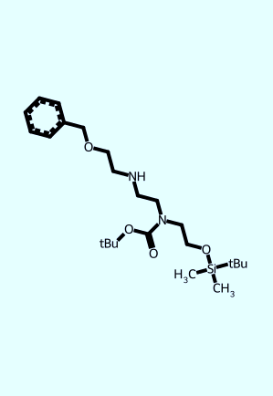 CC(C)(C)OC(=O)N(CCNCCOCc1ccccc1)CCO[Si](C)(C)C(C)(C)C